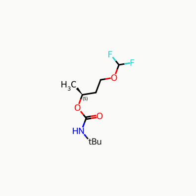 C[C@@H](CCOC(F)F)OC(=O)NC(C)(C)C